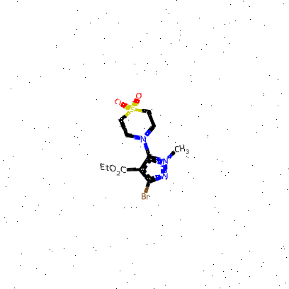 CCOC(=O)c1c(Br)nn(C)c1N1CCS(=O)(=O)CC1